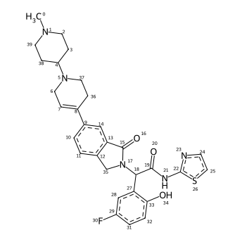 CN1CCC(N2CC=C(c3ccc4c(c3)C(=O)N(C(C(=O)Nc3nccs3)c3cc(F)ccc3O)C4)CC2)CC1